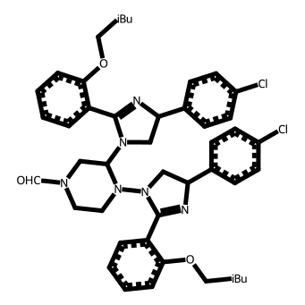 CCC(C)COc1ccccc1C1=NC(c2ccc(Cl)cc2)CN1C1CN(C=O)CCN1N1CC(c2ccc(Cl)cc2)N=C1c1ccccc1OCC(C)CC